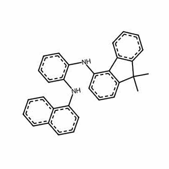 CC1(C)c2ccccc2-c2c(Nc3ccccc3Nc3cccc4ccccc34)cccc21